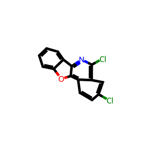 Clc1ccc2c(c1)c(Cl)nc1c3ccccc3oc21